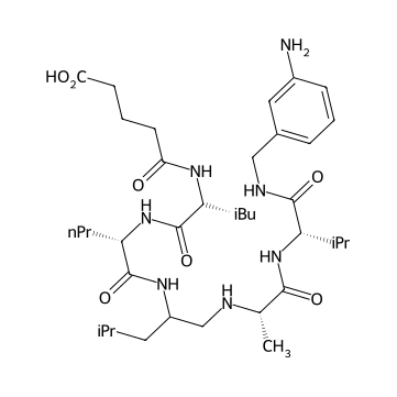 CCC[C@H](NC(=O)C(NC(=O)CCCC(=O)O)[C@@H](C)CC)C(=O)NC(CN[C@@H](C)C(=O)N[C@H](C(=O)NCc1cccc(N)c1)C(C)C)CC(C)C